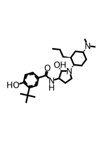 CCC[C@H]1C[C@H](N(C)C)CC[C@@H]1N1CCC(NC(=O)c2ccc(O)c(C(C)(C)C)c2)[C@@H]1O